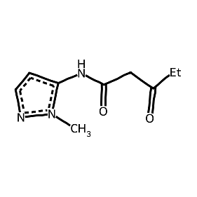 CCC(=O)CC(=O)Nc1ccnn1C